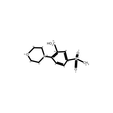 CS(=O)(=O)c1ccc(N2CCOCC2)c(C(=O)O)c1